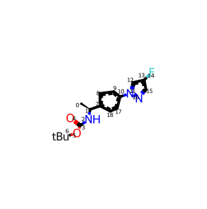 C[C@H](NC(=O)OC(C)(C)C)c1ccc(-n2cc(F)cn2)cc1